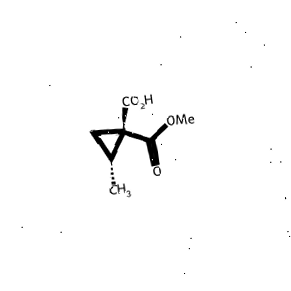 COC(=O)[C@@]1(C(=O)O)C[C@H]1C